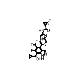 O=C(Nc1cn2cc(-c3c(C(F)F)c(F)c(C(O)C4CC4)c4[nH]ncc34)ncc2n1)[C@@H]1C[C@@H]1F